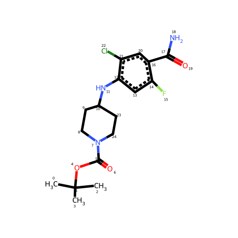 CC(C)(C)OC(=O)N1CCC(Nc2cc(F)c(C(N)=O)cc2Cl)CC1